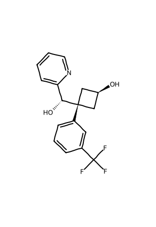 O[C@H](c1ccccn1)[C@]1(c2cccc(C(F)(F)F)c2)C[C@@H](O)C1